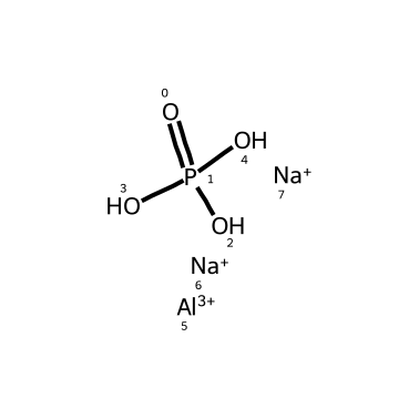 O=P(O)(O)O.[Al+3].[Na+].[Na+]